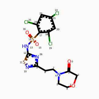 O=C1COCCN1CCc1nsc(NS(=O)(=O)c2c(Cl)cc(Cl)cc2Cl)n1